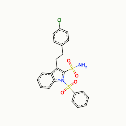 NS(=O)(=O)c1c(CCc2ccc(Cl)cc2)c2ccccc2n1S(=O)(=O)c1ccccc1